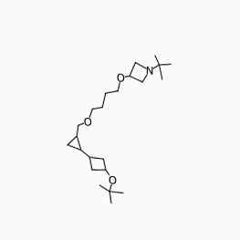 CC(C)(C)OC1CC(C2CC2COCCCCOC2CN(C(C)(C)C)C2)C1